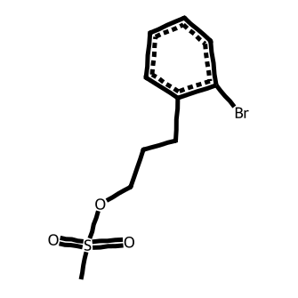 CS(=O)(=O)OCCCc1ccccc1Br